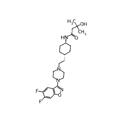 CC(C)(O)CC(=O)N[C@H]1CC[C@H](CCN2CCN(c3noc4cc(F)c(F)cc34)CC2)CC1